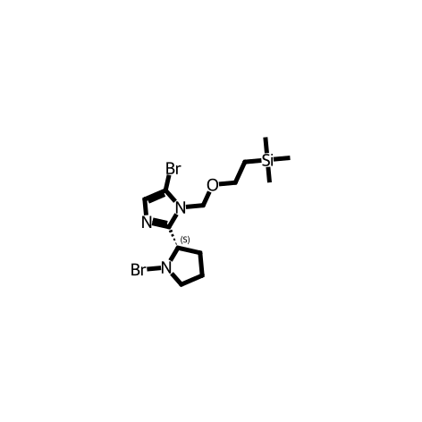 C[Si](C)(C)CCOCn1c(Br)cnc1[C@@H]1CCCN1Br